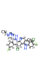 N#CCn1cc([C@@H](Nc2cc(Cl)cc3c(Nc4ccc(F)c(Cl)c4)c(C#N)cnc23)c2ccc(F)cc2)nn1